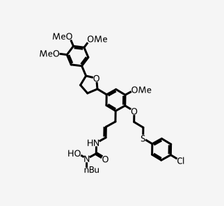 CCCCN(O)C(=O)N/C=C/Cc1cc(C2CCC(c3cc(OC)c(OC)c(OC)c3)O2)cc(OC)c1OCCSc1ccc(Cl)cc1